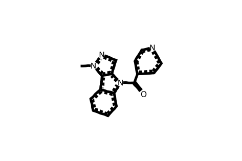 Cn1ncc2c1c1ccccc1n2C(=O)c1ccncc1